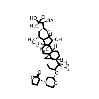 CC(=O)O[C@@H]([C@H]1C[C@@H](C)C2[C@H](O1)[C@H](O)[C@@]1(C)[C@@H]3CC[C@H]4C(C)(C)[C@@H](O[C@H]5CN([C@@H]6CCOC6=O)CCO5)CC[C@@]45C[C@@]35CC[C@]21C)C(C)(C)O